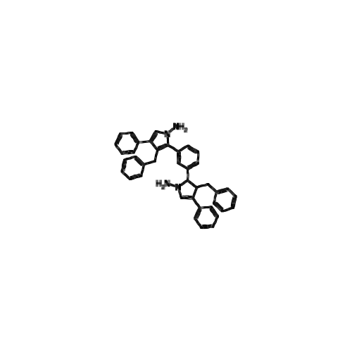 NN1C=C(c2ccccc2)C(Cc2ccccc2)C1c1cccc(-c2c(Cc3ccccc3)c(-c3ccccc3)cn2N)c1